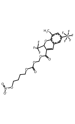 Cc1cc(S(F)(F)(F)(F)F)cc2c1OC(C(F)(F)F)C(C(=O)OCOC(=O)OCCCCO[N+](=O)[O-])=C2